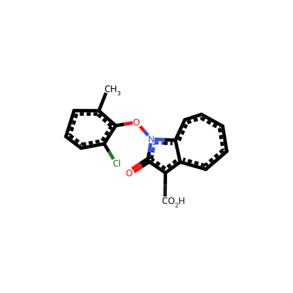 Cc1cccc(Cl)c1On1c2cccccc-2c(C(=O)O)c1=O